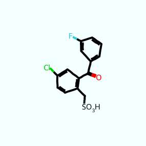 O=C(c1cccc(F)c1)c1cc(Cl)ccc1CS(=O)(=O)O